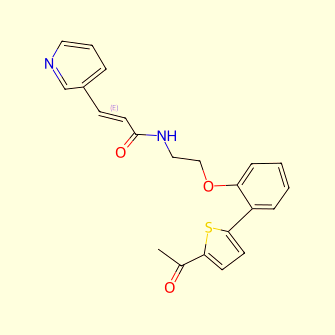 CC(=O)c1ccc(-c2ccccc2OCCNC(=O)/C=C/c2cccnc2)s1